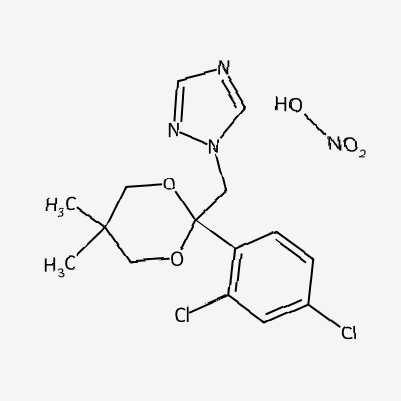 CC1(C)COC(Cn2cncn2)(c2ccc(Cl)cc2Cl)OC1.O=[N+]([O-])O